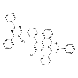 CN1C(c2cccc(-c3cc(C#N)ccc3-c3ccccc3-c3nc(-c4ccccc4)nc(-c4ccccc4)n3)c2)=NC(c2ccccc2)=NC1c1ccccc1